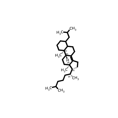 CC(C)CCC[C@@H](C)[C@H]1CCC2=C3CCC4C(CC(C)C)CCC[C@]4(C)[C@H]3CC[C@@]21C